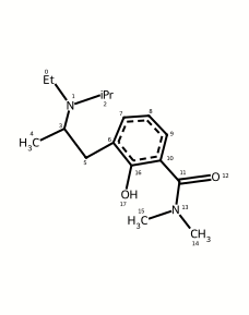 CCN(C(C)C)C(C)Cc1cccc(C(=O)N(C)C)c1O